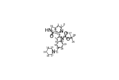 Cc1cc2c(c(-c3cc4cc(CN5CCCCC5)ccc4n3C(=O)OC(C)(C)C)n1)C(=O)NC2